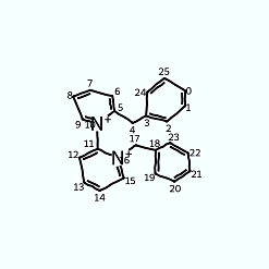 c1ccc(Cc2cccc[n+]2-c2cccc[n+]2Cc2ccccc2)cc1